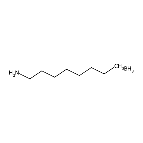 B.CCCCCCCCN